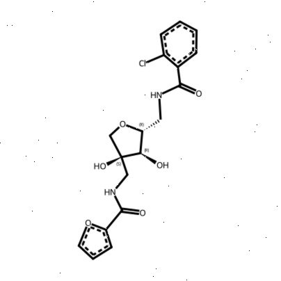 O=C(NC[C@]1(O)CO[C@H](CNC(=O)c2ccccc2Cl)[C@H]1O)c1ccco1